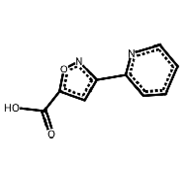 O=C(O)c1cc(-c2ccccn2)no1